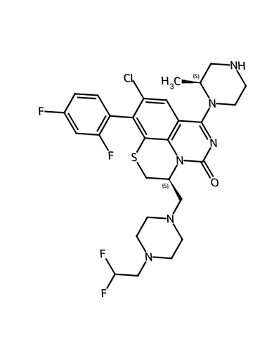 C[C@H]1CNCCN1c1nc(=O)n2c3c(c(-c4ccc(F)cc4F)c(Cl)cc13)SC[C@@H]2CN1CCN(CC(F)F)CC1